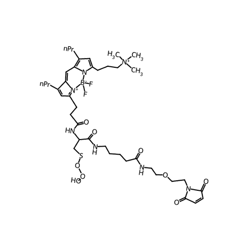 CCCC1=CC(CCC(=O)NC(CSOOO)C(=O)NCCCCC(=O)NCCOCCN2C(=O)C=CC2=O)=[N+]2C1=Cc1c(CCC)cc(CCC[N+](C)(C)C)n1[B-]2(F)F